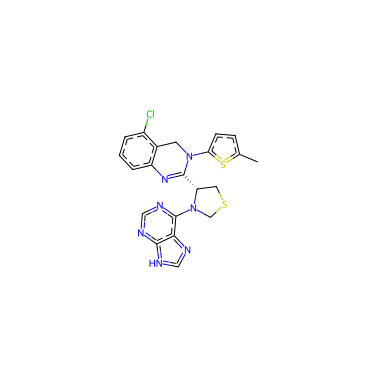 Cc1ccc(N2Cc3c(Cl)cccc3N=C2[C@@H]2CSCN2c2ncnc3[nH]cnc23)s1